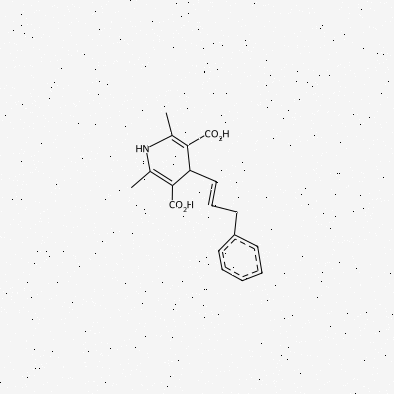 CC1=C(C(=O)O)C(C=CCc2ccccc2)C(C(=O)O)=C(C)N1